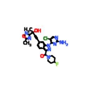 Cc1nc([C@](C)(O)C#Cc2ccc3c(C(=O)N4CCC(F)CC4)nn(-c4nc(N)ncc4Cl)c3c2)no1